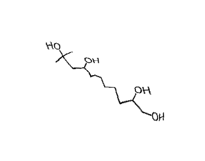 CC(C)(O)CC(O)CCCCCC(O)CO